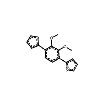 COc1c(-c2cccs2)ccc(-c2cccs2)c1OC